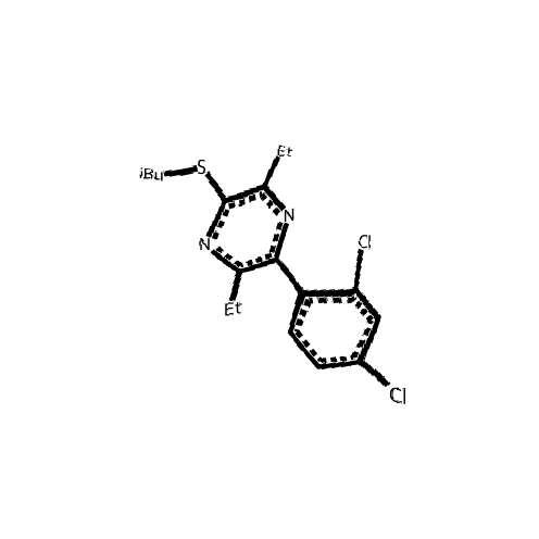 CCc1nc(-c2ccc(Cl)cc2Cl)c(CC)nc1SC(C)CC